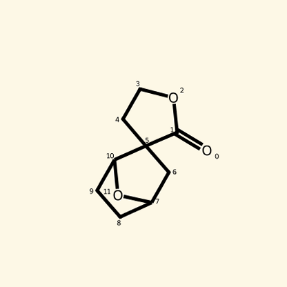 O=C1OCCC12CC1CCC2O1